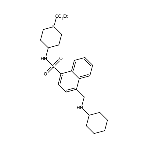 CCOC(=O)N1CCC(NS(=O)(=O)c2ccc(CNC3CCCCC3)c3ccccc23)CC1